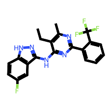 CCc1c(C)nc(-c2ccccc2C(F)(F)F)nc1Nc1n[nH]c2ccc(F)cc12